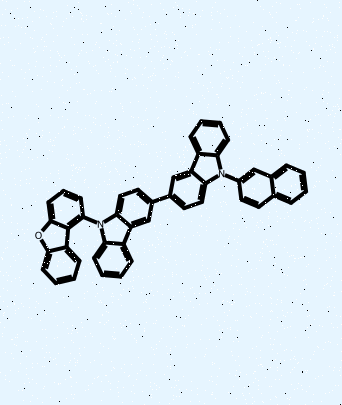 c1ccc2cc(-n3c4ccccc4c4cc(-c5ccc6c(c5)c5ccccc5n6-c5cccc6oc7ccccc7c56)ccc43)ccc2c1